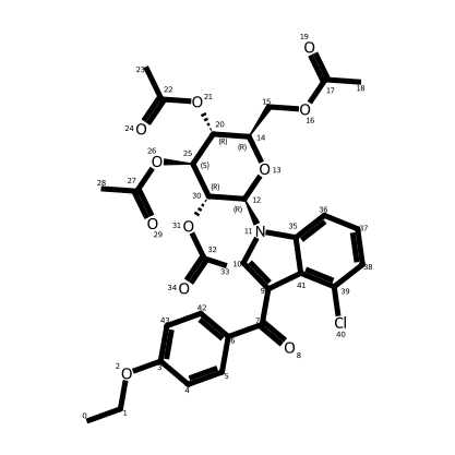 CCOc1ccc(C(=O)c2cn([C@@H]3O[C@H](COC(C)=O)[C@@H](OC(C)=O)[C@H](OC(C)=O)[C@H]3OC(C)=O)c3cccc(Cl)c23)cc1